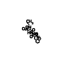 CCCCC[C@H](CN(O)C=O)C(=O)NNC(=O)c1cc2cccc3c2n(c1=O)CC3